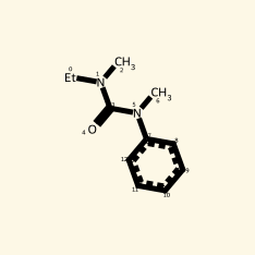 [CH2]CN(C)C(=O)N(C)c1ccccc1